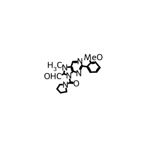 COc1ccccc1-c1ncc2c(n1)N(C(=O)N1CCCC1)C(C=O)N2C